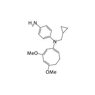 COC1=C/C(N(CC2CC2)c2ccc(N)cc2)=C\CC/C(OC)=C\1